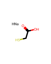 O=C(O)CS.[NaH]